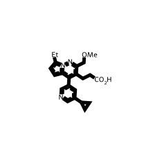 CCc1ccc2c(-c3cncc(C4CC4)c3)c(CCC(=O)O)c(COC)nn12